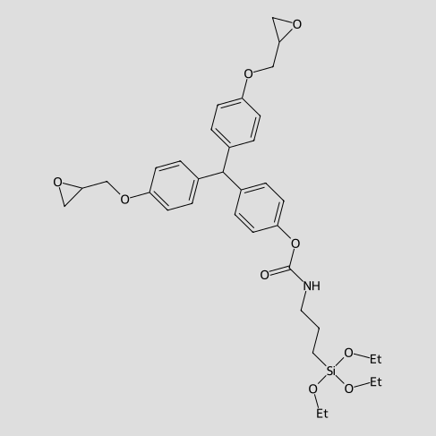 CCO[Si](CCCNC(=O)Oc1ccc(C(c2ccc(OCC3CO3)cc2)c2ccc(OCC3CO3)cc2)cc1)(OCC)OCC